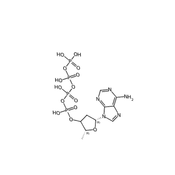 C[C@H]1O[C@@H](n2cnc3c(N)ncnc32)CC1OP(=O)(O)OP(=O)(O)OP(=O)(O)OP(=O)(O)O